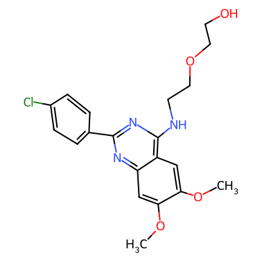 COc1cc2nc(-c3ccc(Cl)cc3)nc(NCCOCCO)c2cc1OC